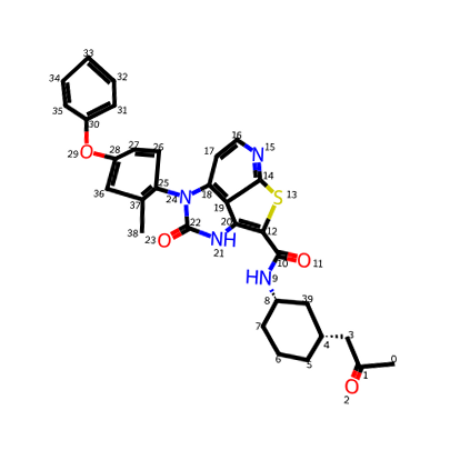 CC(=O)C[C@@H]1CCC[C@H](NC(=O)c2sc3nccc4c3c2NC(=O)N4c2ccc(Oc3ccccc3)cc2C)C1